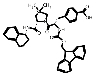 C[Si]1(C)C[C@@H](C(=O)N[C@@H]2CCCc3ccccc32)N(C(=O)[C@H](Cc2ccc(C(=O)O)cc2)NC(=O)OCC2c3ccccc3-c3ccccc32)C1